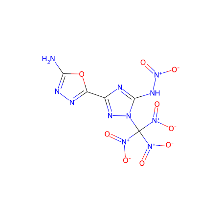 Nc1nnc(-c2nc(N[N+](=O)[O-])n(C([N+](=O)[O-])([N+](=O)[O-])[N+](=O)[O-])n2)o1